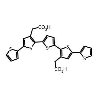 O=C(O)Cc1cc(-c2cccs2)sc1-c1ccc(-c2sc(-c3cccs3)cc2CC(=O)O)s1